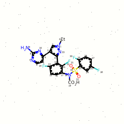 CCn1cc(-c2ccnc(N)n2)c(-c2c(F)ccc(N(C(=O)O)S(=O)(=O)c3cc(F)ccc3F)c2F)n1